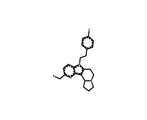 FCc1ccc2c(n1)c1c(n2CCc2ccc(F)cc2)CCN2CCCC12